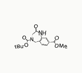 COC(=O)c1ccc2c(c1)NC(=O)CN(C(=O)OC(C)(C)C)C2